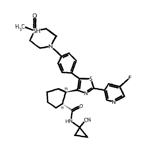 C[SH]1(=O)CCN(c2ccc(-c3sc(-c4cncc(F)c4)nc3[C@@H]3CCCC[C@H]3C(=O)NC3(C#N)CC3)cc2)CC1